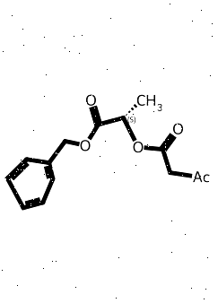 CC(=O)CC(=O)O[C@@H](C)C(=O)OCc1ccccc1